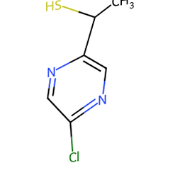 CC(S)c1cnc(Cl)cn1